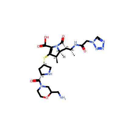 C[C@@H](NC(=O)Cn1cnnn1)[C@H]1C(=O)N2C(C(=O)O)=C(S[C@@H]3CN[C@H](C(=O)N4CCOC(CN)C4)C3)[C@H](C)[C@H]12